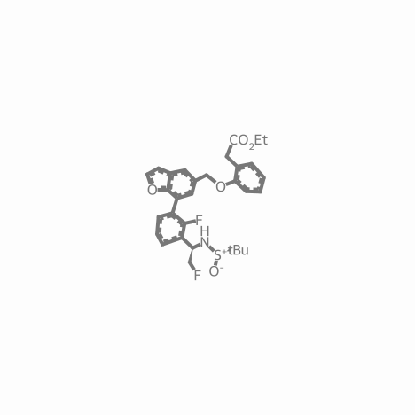 CCOC(=O)Cc1ccccc1OCc1cc(-c2cccc([C@H](CF)N[S@+]([O-])C(C)(C)C)c2F)c2occc2c1